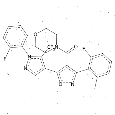 Cc1cccc(F)c1-c1noc(-c2cnn(-c3ccccc3F)c2C(F)(F)F)c1C(=O)N1CCOCC1